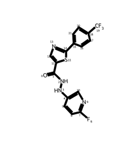 O=C(NNc1ccc(F)nc1)c1cnc(-c2ccc(C(F)(F)F)cc2)s1